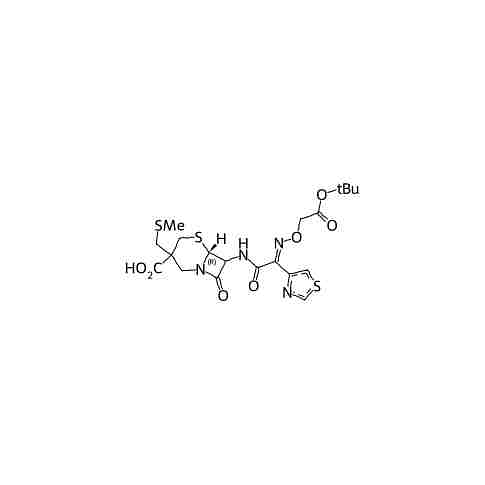 CSCC1(C(=O)O)CS[C@@H]2C(NC(=O)C(=NOCC(=O)OC(C)(C)C)c3cscn3)C(=O)N2C1